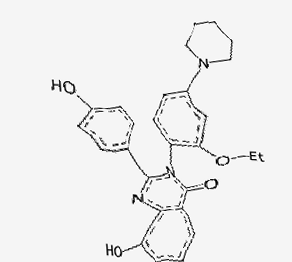 CCOc1cc(N2CCCCC2)ccc1-n1c(-c2ccc(O)cc2)nc2c(O)cccc2c1=O